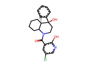 O=C(c1cc(Cl)cnc1O)N1CC[C@@](O)(c2ccccc2)[C@@H]2CCCCC21